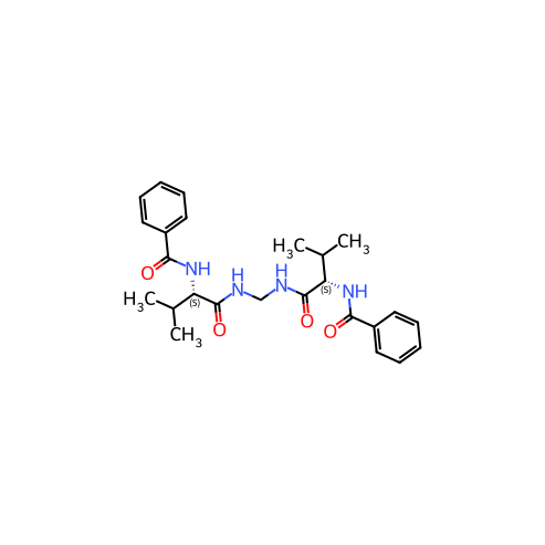 CC(C)[C@H](NC(=O)c1ccccc1)C(=O)NCNC(=O)[C@@H](NC(=O)c1ccccc1)C(C)C